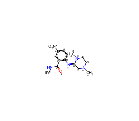 CC(C)NC(=O)c1cc([N+](=O)[O-])ccc1/N=C1/CN(C)CCN1C